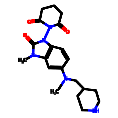 CN(CC1CCNCC1)c1ccc2c(c1)n(C)c(=O)n2N1C(=O)CCCC1=O